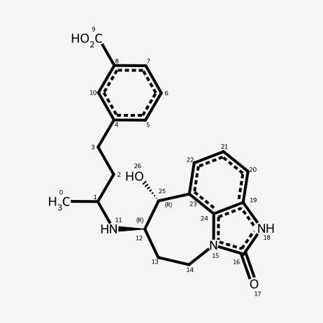 CC(CCc1cccc(C(=O)O)c1)N[C@@H]1CCn2c(=O)[nH]c3cccc(c32)[C@H]1O